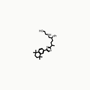 CCCC(CCC(C)c1nc(-c2ccc3c(c2)C(C)(C)CCC3(C)C)cs1)CNCCO